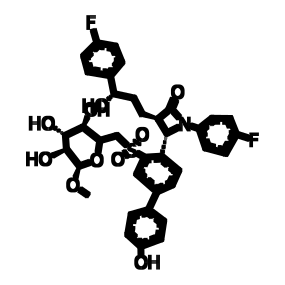 CO[C@@H]1OC(CS(=O)(=O)c2cc(-c3ccc(O)cc3)ccc2[C@@H]2[C@@H](CC[C@H](O)c3ccc(F)cc3)C(=O)N2c2ccc(F)cc2)[C@H](O)[C@@H](O)[C@@H]1O